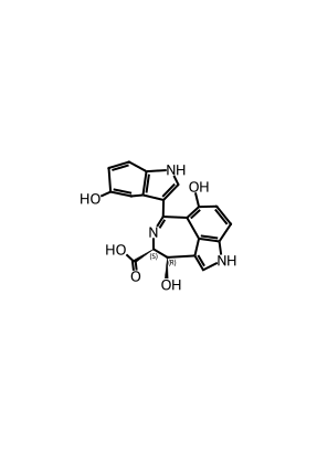 O=C(O)[C@H]1N=C(c2c[nH]c3ccc(O)cc23)c2c(O)ccc3[nH]cc(c23)[C@H]1O